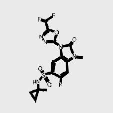 Cn1c(=O)n(-c2nnc(C(F)F)o2)c2cc(S(=O)(=O)NC3(C)CC3)c(F)cc21